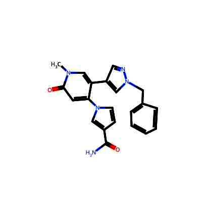 Cn1cc(-c2cnn(Cc3ccccc3)c2)c(-n2ccc(C(N)=O)c2)cc1=O